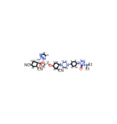 CCC(CC)n1ncn(-c2ccc(N3CCN(c4ccc(OC[C@@H]5CO[C@@](Cn6nccn6)(c6ccc(C#N)cc6C#N)O5)cc4C#N)CC3)cc2)c1=O